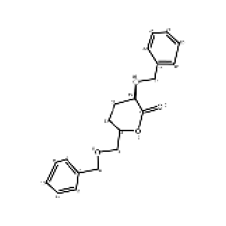 O=C1OC(COCc2ccccc2)CCC1OCc1ccccc1